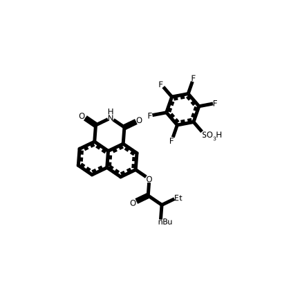 CCCCC(CC)C(=O)Oc1cc2c3c(cccc3c1)C(=O)NC2=O.O=S(=O)(O)c1c(F)c(F)c(F)c(F)c1F